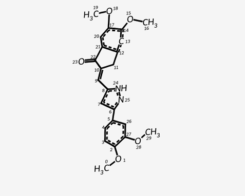 COc1ccc(-c2cc(/C=C3\Cc4cc(OC)c(OC)cc4C3=O)[nH]n2)cc1OC